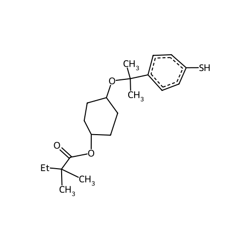 CCC(C)(C)C(=O)OC1CCC(OC(C)(C)c2ccc(S)cc2)CC1